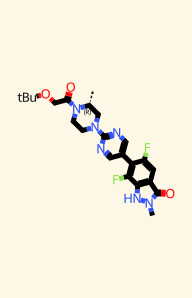 C[C@@H]1CN(c2ncc(-c3c(F)cc4c(=O)n(C)[nH]c4c3F)cn2)CCN1C(=O)COC(C)(C)C